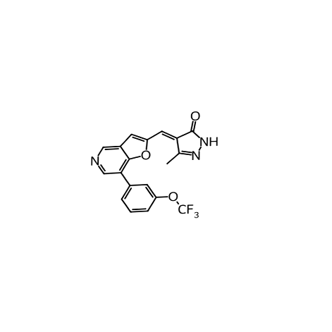 CC1=NNC(=O)C1=Cc1cc2cncc(-c3cccc(OC(F)(F)F)c3)c2o1